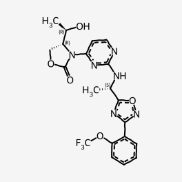 C[C@H](Nc1nccc(N2C(=O)OC[C@@H]2[C@@H](C)O)n1)c1nc(-c2ccccc2OC(F)(F)F)no1